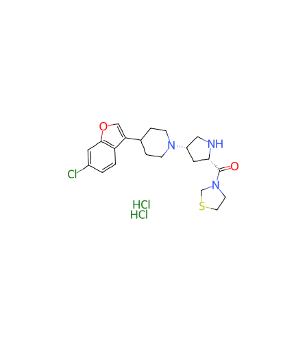 Cl.Cl.O=C([C@@H]1C[C@H](N2CCC(c3coc4cc(Cl)ccc34)CC2)CN1)N1CCSC1